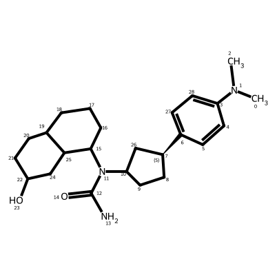 CN(C)c1ccc([C@H]2CCC(N(C(N)=O)C3CCCC4CCC(O)CC43)C2)cc1